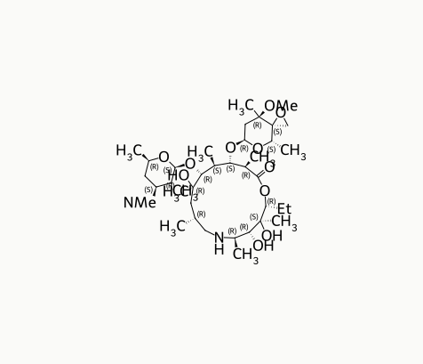 CC[C@H]1OC(=O)[C@H](C)[C@@H](O[C@H]2C[C@@](C)(OC)[C@]3(CO3)[C@H](C)O2)[C@H](C)[C@@H](O[C@@H]2O[C@H](C)C[C@H](NC)[C@H]2C)[C@](C)(O)C[C@@H](C)CN[C@H](C)[C@@H](O)[C@]1(C)O